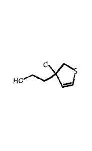 OCCC1(Cl)C=CSC1